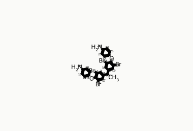 CC(c1cc(Br)c(Oc2ccc(N)cc2)c(Br)c1)c1cc(Br)c(Oc2ccc(N)cc2)c(Br)c1